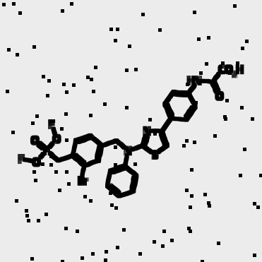 O=C(O)C(=O)Nc1ccc(-c2csc(N(Cc3ccc(CP(=O)(OF)OF)c(Br)c3)c3ccccc3)n2)cc1